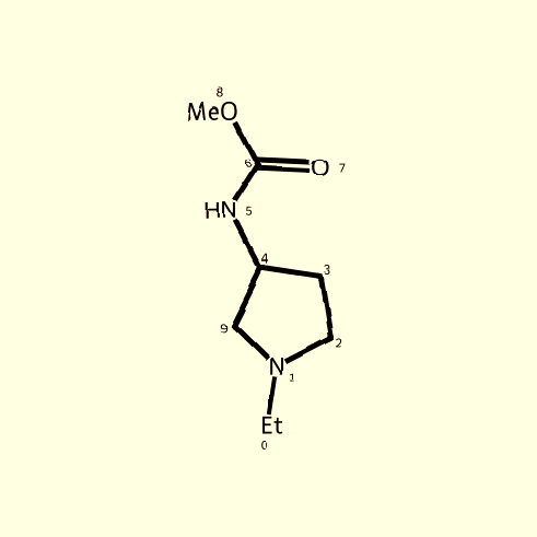 CCN1CCC(NC(=O)OC)C1